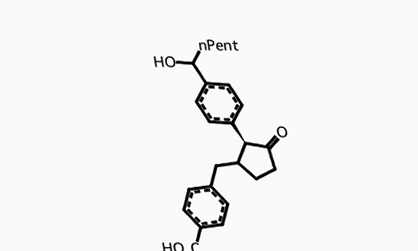 CCCCCC(O)c1ccc([C@H]2C(=O)CCC2Cc2ccc(C(=O)O)cc2)cc1